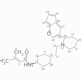 CC(C)=CC(=O)N[C@H]1CC[C@H](CCN2CCCCC2c2coc3cccc-3c2)CC1